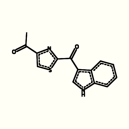 CC(=O)c1csc(C(=O)c2c[nH]c3ccccc23)n1